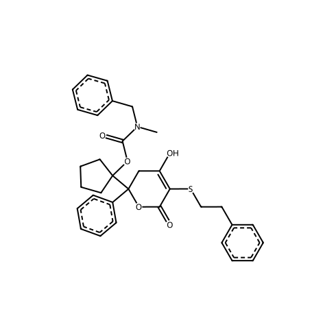 CN(Cc1ccccc1)C(=O)OC1(C2(c3ccccc3)CC(O)=C(SCCc3ccccc3)C(=O)O2)CCCC1